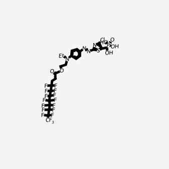 CCN(CCOC(=O)CCC(F)(F)C(F)(F)C(F)(F)C(F)(F)C(F)(F)C(F)(F)C(F)(F)C(F)(F)F)c1ccc(/N=N/c2nc(Cl)c(C(O)P(=O)(O)O)s2)cc1